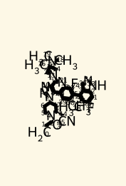 C=CC(=O)N1CC[C@H](n2nnc3c(N4CC(C)(N(C)C)C4)nc4c(F)c(-c5c(C)c(F)cc6[nH]ncc56)c(C)cc4c32)C[C@H]1CC#N